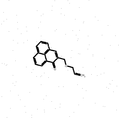 C=CCOCC1=Cc2cccc3cccc(c23)C1=O